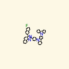 Fc1ccc2cc(-c3nc(-c4ccc(-n5c6ccccc6c6ccc(-n7c8ccccc8c8ccccc87)cc65)cc4)nc4c3ccc3ccccc34)ccc2c1